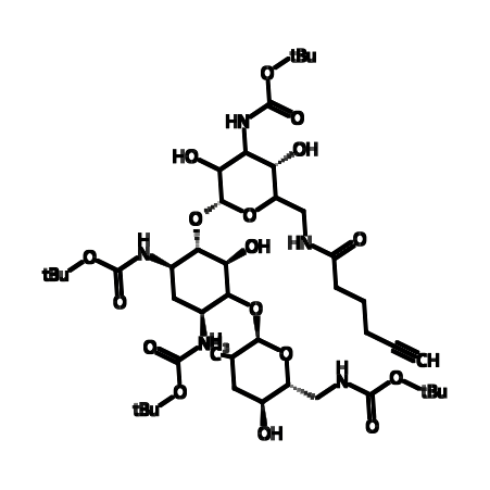 C#CCCCC(=O)NCC1O[C@H](O[C@H]2[C@H](NC(=O)OC(C)(C)C)C[C@H](NC(=O)OC(C)(C)C)C(O[C@H]3O[C@H](CNC(=O)OC(C)(C)C)[C@@H](O)CC3C)[C@@H]2O)C(O)C(NC(=O)OC(C)(C)C)[C@@H]1O